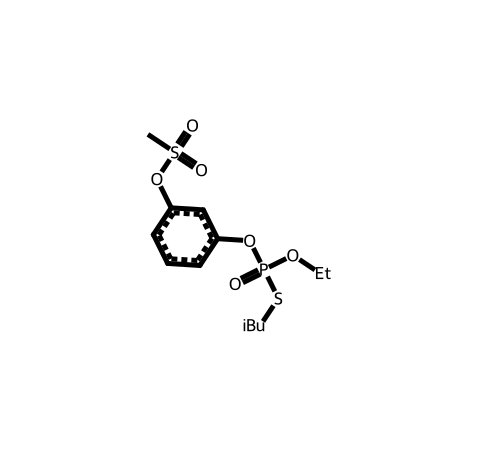 CCOP(=O)(Oc1cccc(OS(C)(=O)=O)c1)SC(C)CC